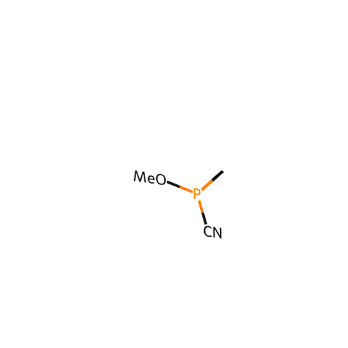 COP(C)C#N